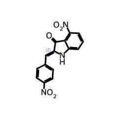 O=C1/C(=C/c2ccc([N+](=O)[O-])cc2)Nc2cccc([N+](=O)[O-])c21